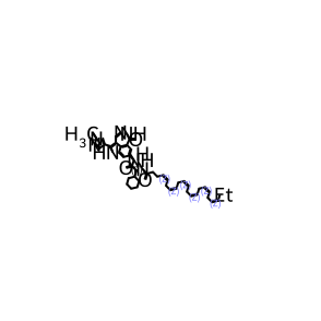 CC/C=C\C/C=C\C/C=C\C/C=C\C/C=C\C/C=C\CCC(=O)N[C@@H](C(=O)Nc1cc2c3c(c(-c4cnn(C)c4)[nH]c3c1)C=NNC2=O)C1CCCCC1